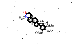 COc1cc(C2(C(=O)O)CC[C@H]3[C@@H]4CCC5N(C)C(=O)CC[C@]5(C)[C@@H]4CC[C@@]32C)cc(OC)c1OC